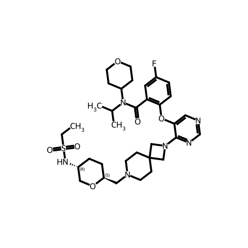 CCS(=O)(=O)N[C@@H]1CC[C@@H](CN2CCC3(CC2)CN(c2ncncc2Oc2ccc(F)cc2C(=O)N(C(C)C)C2CCOCC2)C3)OC1